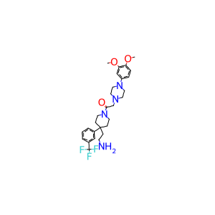 COc1ccc(N2CCN(CC(=O)N3CCC(CCN)(c4cccc(C(F)(F)F)c4)CC3)CC2)cc1OC